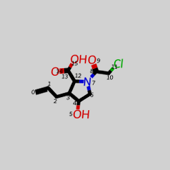 C=CCC1C(O)CN(C(=O)CCl)C1C(=O)O